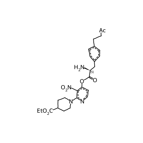 CCOC(=O)C1CCN(c2nccc(OC(=O)[C@@H](N)Cc3ccc(CCC(C)=O)cc3)c2[N+](=O)[O-])CC1